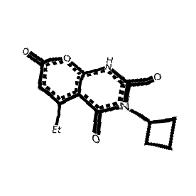 CCc1cc(=O)oc2[nH]c(=O)n(C3CCC3)c(=O)c12